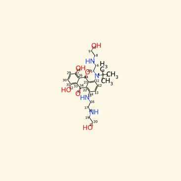 CC(C)(C)N(CCNCCO)c1ccc(NCCNCCO)c2c1C(=O)c1c(O)ccc(O)c1C2=O